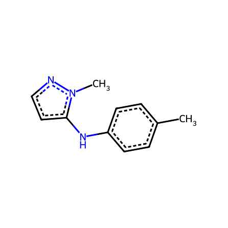 Cc1ccc(Nc2ccnn2C)cc1